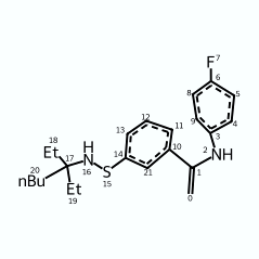 C=C(Nc1ccc(F)cc1)c1cccc(SNC(CC)(CC)CCCC)c1